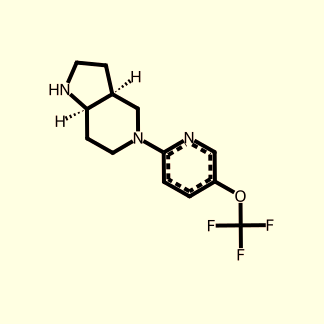 FC(F)(F)Oc1ccc(N2CC[C@H]3NCC[C@H]3C2)nc1